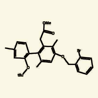 COC(=O)Cc1c(C)c(OCc2ccccc2Br)cc(C)c1-c1ccc(C)cc1OC(C)(C)C